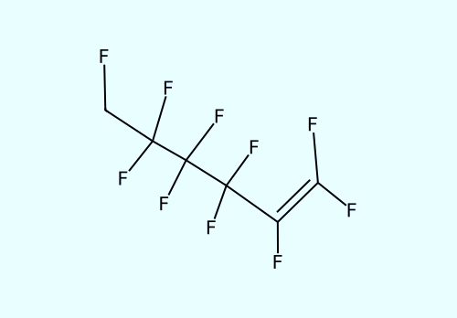 FCC(F)(F)C(F)(F)C(F)(F)C(F)=C(F)F